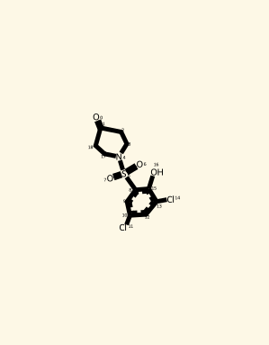 O=C1CCN(S(=O)(=O)c2cc(Cl)cc(Cl)c2O)CC1